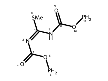 CSC(=NC(=O)OP)NC(=O)OP